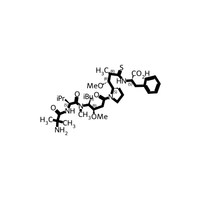 CC[C@H](C)C([C@@H](CC(=O)N1CCC[C@H]1[C@H](OC)[C@@H](C)C(=S)N[C@@H](Cc1ccccc1)C(=O)O)OC)N(C)C(=O)[C@@H](NC(=O)C(C)(C)N)C(C)C